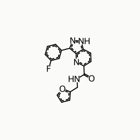 O=C(NCc1ccco1)c1ccc2[nH]nc(-c3cccc(F)c3)c2n1